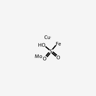 O=[S](=O)(O)[Fe].[Cu].[Mo]